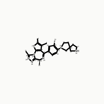 Cc1sc2c(c1C)C(c1ccc(N3CCC4(CCNC4)C3)c(F)c1)=N[C@@H](C)c1nnc(C)n1-2